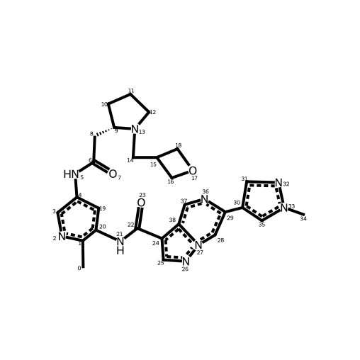 Cc1ncc(NC(=O)C[C@@H]2CCCN2CC2COC2)cc1NC(=O)c1cnn2cc(-c3cnn(C)c3)ncc12